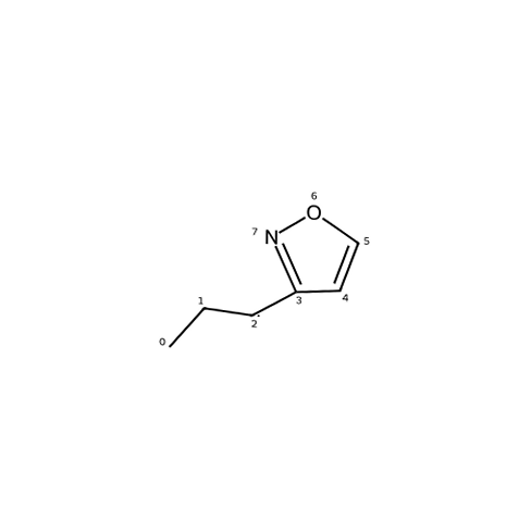 CC[CH]c1ccon1